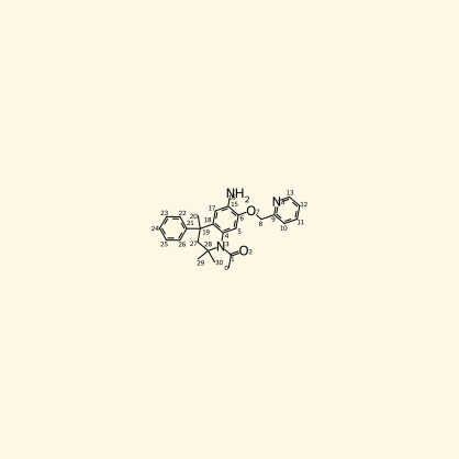 CC(=O)N1c2cc(OCc3ccccn3)c(N)cc2C(C)(c2ccccc2)CC1(C)C